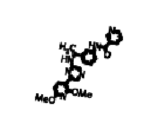 COc1ccc(-c2cncc(N[C@@H](C)c3cccc(NC(=O)c4cccnc4)c3)n2)c(OC)n1